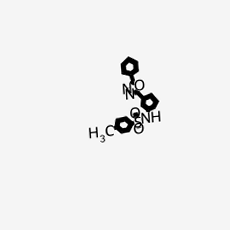 Cc1ccc(S(=O)(=O)Nc2cccc(-c3nnc(-c4ccccc4)o3)c2)cc1